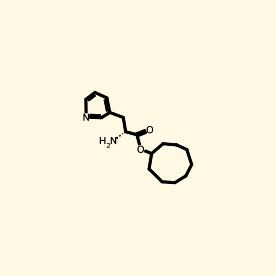 N[C@H](Cc1cccnc1)C(=O)OC1CCCCCCCC1